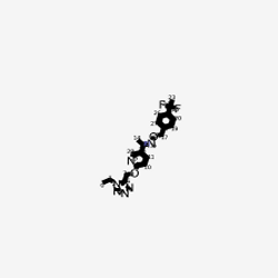 CCn1nnnc1COc1ccc(/C(C)=N/OCc2ccc(C(C)(F)F)cc2)cn1